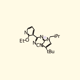 CCOc1ncccc1C(=NC#N)/N=c1\sc(C(C)(C)C)cn1CC(C)C